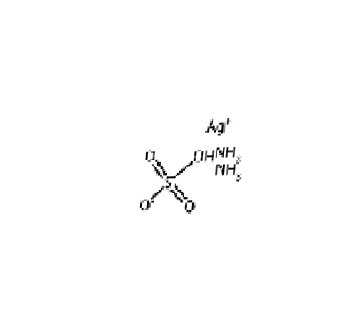 N.N.O=S(=O)([O-])O.[Ag+]